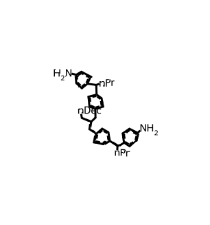 CCCCCCCCCCCC(Cc1ccc(C(CCC)c2ccc(N)cc2)cc1)Cc1ccc(C(CCC)c2ccc(N)cc2)cc1